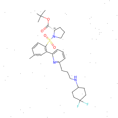 Cc1ccc(S(=O)(=O)N2CCC[C@H]2C(=O)OC(C)(C)C)c(-c2cccc(CCCNC3CCC(F)(F)CC3)n2)c1